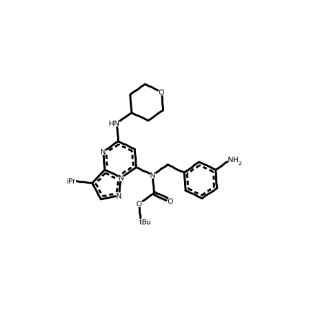 CC(C)c1cnn2c(N(Cc3cccc(N)c3)C(=O)OC(C)(C)C)cc(NC3CCOCC3)nc12